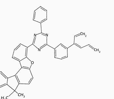 C=C/C=C(\C=C)c1cccc(-c2nc(-c3ccccc3)nc(-c3cccc4c3oc3ccc5c(c34)-c3ccccc3C5(C)C)n2)c1